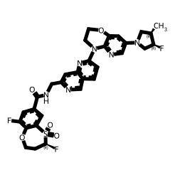 C[C@@H]1CN(c2cnc3c(c2)OCCN3c2ccc3cnc(CNC(=O)c4cc(F)c5c(c4)S(=O)(=O)[C@@H](F)CCO5)cc3n2)C[C@@H]1F